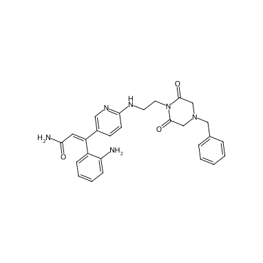 NC(=O)C=C(c1ccc(NCCN2C(=O)CN(Cc3ccccc3)CC2=O)nc1)c1ccccc1N